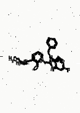 CCNc1cccn(Cc2nc3cc(F)ccc3n2Cc2ccccc2)c1=O